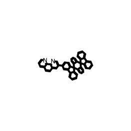 c1ccc2c(c1)-c1ccccc1C21c2ccccc2C2(c3ccccc3-c3cc(-c4cnc5c(ccc6cccnc65)c4)ccc32)c2ccccc21